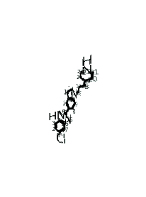 Clc1ccc2[nH]c(-c3ccc4c(c3)CCN4CCCC3CCNCC3)nc2c1